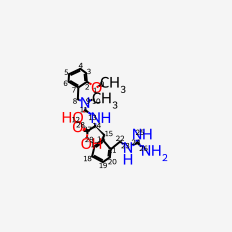 COc1ccccc1CN(C)C(O)N[C@@H](Cc1ccccc1CNC(=N)N)C(=O)O